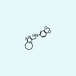 c1cc2c(cc1NCc1nnc3n1CCCCC3)OCO2